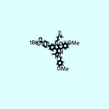 COc1ccc(Cn2nc(C)c3c4c(c(-c5ccc(OC)cc5)nc32)c(=O)n(CCCN(C)C)c2cc(N3CCN(C(=O)OC(C)(C)C)CC3)ccc42)cc1